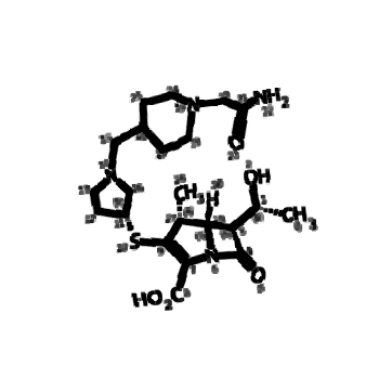 C[C@@H](O)[C@H]1C(=O)N2C(C(=O)O)=C(S[C@@H]3CCN(CC4CCN(CC(N)=O)CC4)C3)[C@H](C)[C@H]12